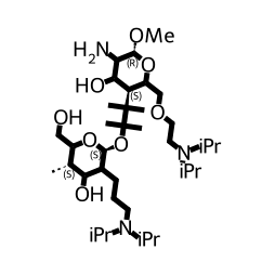 CO[C@@H]1OC(COCCN(C(C)C)C(C)C)[C@@H](C(C)(C)C(C)(C)O[C@@H]2OC(CO)[C@@H](C)C(O)C2CCCN(C(C)C)C(C)C)C(O)C1N